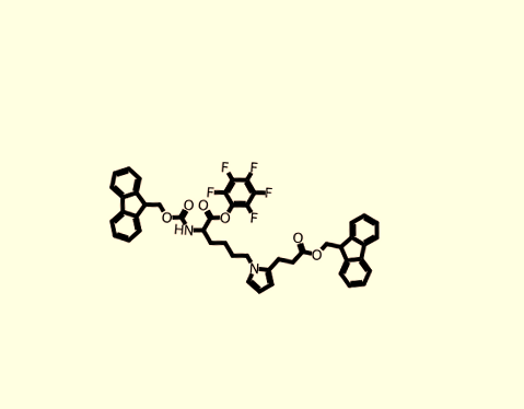 O=C(CCc1cccn1CCCCC(NC(=O)OCC1c2ccccc2-c2ccccc21)C(=O)Oc1c(F)c(F)c(F)c(F)c1F)OCC1c2ccccc2-c2ccccc21